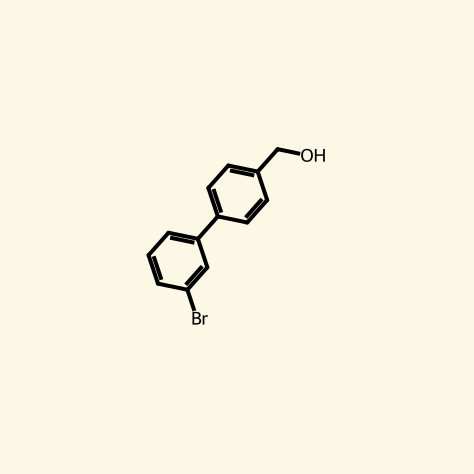 OCc1ccc(-c2cccc(Br)c2)cc1